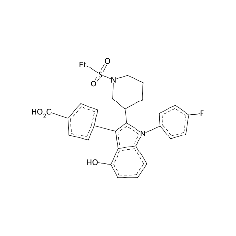 CCS(=O)(=O)N1CCCC(c2c(-c3ccc(C(=O)O)cc3)c3c(O)cccc3n2-c2ccc(F)cc2)C1